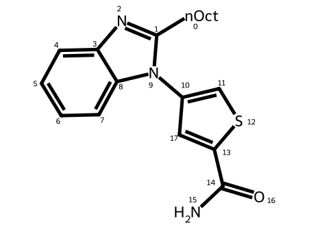 CCCCCCCCc1nc2ccccc2n1-c1csc(C(N)=O)c1